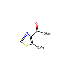 COC(=O)c1ncsc1OC